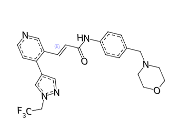 O=C(/C=C/c1cnccc1-c1cnn(CC(F)(F)F)c1)Nc1ccc(CN2CCOCC2)cc1